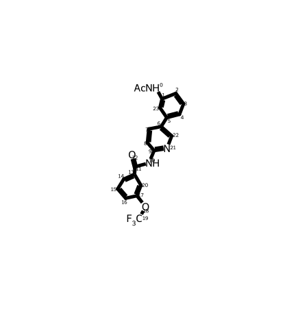 CC(=O)Nc1cccc(-c2ccc(NC(=O)c3cccc(OC(F)(F)F)c3)nc2)c1